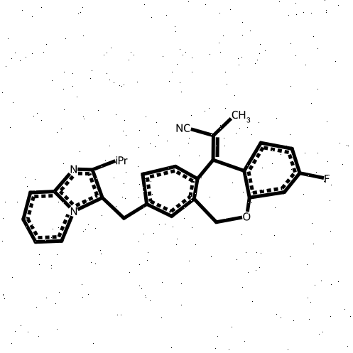 C/C(C#N)=C1/c2ccc(Cc3c(C(C)C)nc4ccccn34)cc2COc2cc(F)ccc21